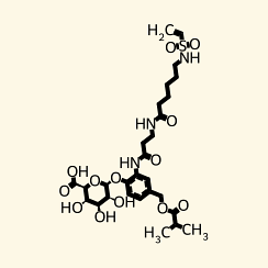 C=CS(=O)(=O)NCCCCCC(=O)NCCC(=O)Nc1cc(COC(=O)C(C)C)ccc1O[C@@H]1O[C@H](C(=O)O)[C@@H](O)[C@H](O)[C@H]1O